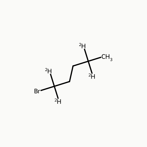 [2H]C([2H])(C)CCC([2H])([2H])Br